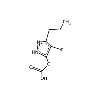 CCCc1n[nH]c(OC(=O)O)c1F